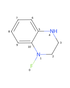 FN1CCNc2ccccc21